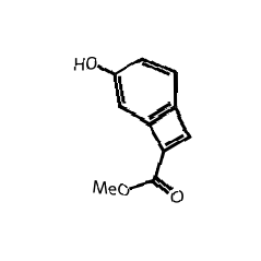 COC(=O)C1=Cc2ccc(O)cc21